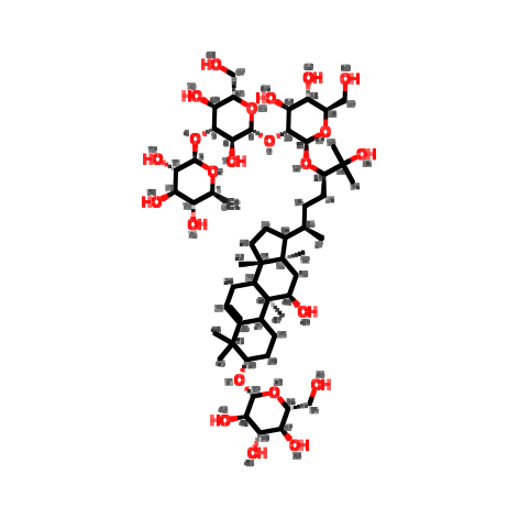 CC[C@@H]1O[C@H](O[C@H]2[C@H](O)[C@@H](O[C@H]3[C@H](O[C@H](CC[C@@H](C)C4CC[C@@]5(C)C6CC=C7C(CC[C@H](O[C@@H]8O[C@H](CO)[C@@H](O)[C@H](O)[C@H]8O)C7(C)C)[C@]6(C)[C@H](O)C[C@]45C)C(C)(C)O)O[C@H](CO)[C@@H](O)[C@@H]3O)O[C@@H](CO)[C@@H]2O)[C@@H](O)[C@H](O)[C@H]1O